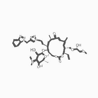 CC[C@H]1OC(=O)CC[C@H](C)[C@@H](O[C@@H]2O[C@H](C)C(O)C(N(C)C)C2O)[C@@H](CCn2cc(Cn3nnc4ccccc43)nn2)C[C@@H](C)C(=O)/C=C/C(C)=C/[C@@H]1CO[C@H](O)COC